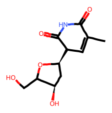 CC1=CC([C@H]2C[C@@H](O)C(CO)O2)C(=O)NC1=O